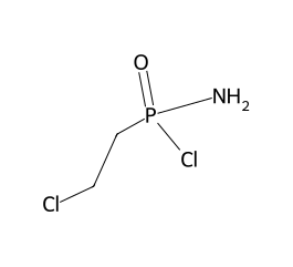 NP(=O)(Cl)CCCl